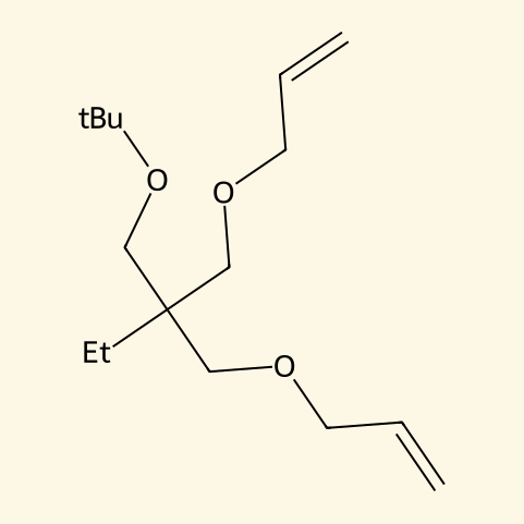 C=CCOCC(CC)(COCC=C)COC(C)(C)C